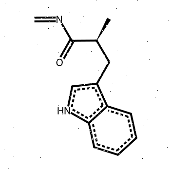 C=NC(=O)[C@@H](C)Cc1c[nH]c2ccccc12